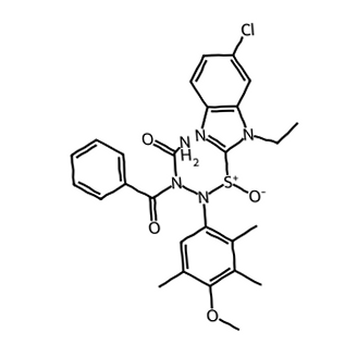 CCn1c([S+]([O-])N(c2cc(C)c(OC)c(C)c2C)N(C(N)=O)C(=O)c2ccccc2)nc2ccc(Cl)cc21